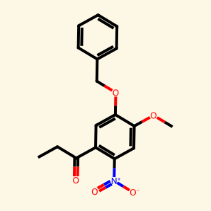 CCC(=O)c1cc(OCc2ccccc2)c(OC)cc1[N+](=O)[O-]